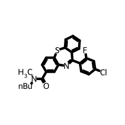 CCCCN(C)C(=O)c1ccc2c(c1)N=C(c1ccc(Cl)cc1F)c1ccccc1S2